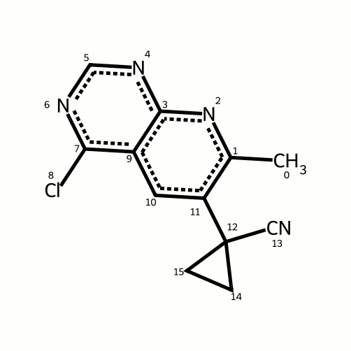 Cc1nc2ncnc(Cl)c2cc1C1(C#N)CC1